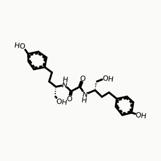 O=C(N[C@H](CO)CCc1ccc(O)cc1)C(=O)N[C@H](CO)CCc1ccc(O)cc1